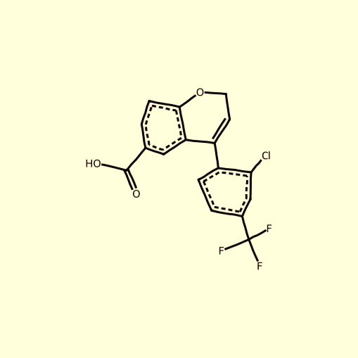 O=C(O)c1ccc2c(c1)C(c1ccc(C(F)(F)F)cc1Cl)=CCO2